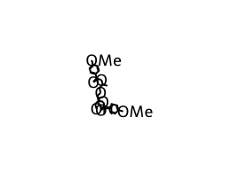 COc1ccc(C(=O)OC(C)COCC(CO)OC(=O)c2ccc(OC)cc2)cc1